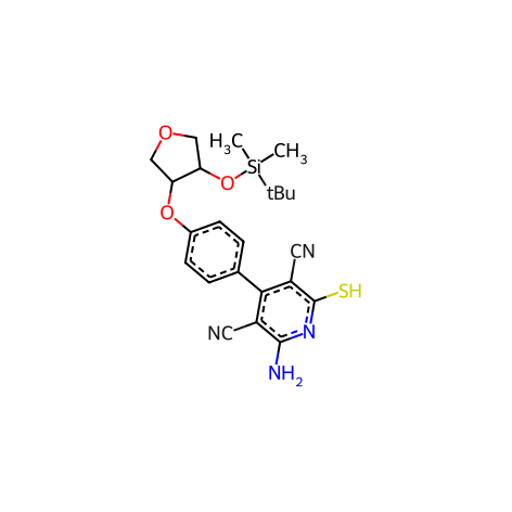 CC(C)(C)[Si](C)(C)OC1COCC1Oc1ccc(-c2c(C#N)c(N)nc(S)c2C#N)cc1